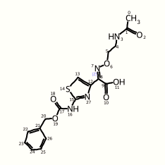 CC(=O)NCCO/N=C(\C(=O)O)c1csc(NC(=O)OCc2ccccc2)n1